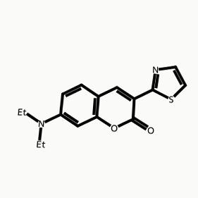 CCN(CC)c1ccc2cc(-c3nccs3)c(=O)oc2c1